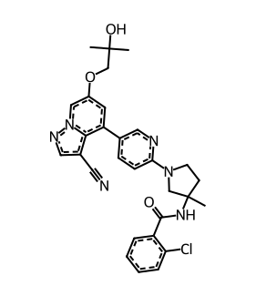 CC(C)(O)COc1cc(-c2ccc(N3CCC(C)(NC(=O)c4ccccc4Cl)C3)nc2)c2c(C#N)cnn2c1